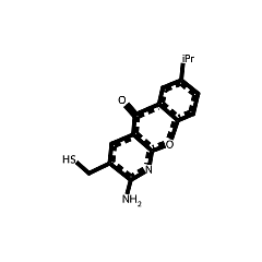 CC(C)c1ccc2oc3nc(N)c(CS)cc3c(=O)c2c1